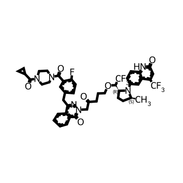 C[C@H]1CC[C@H](C(OCCCC(=O)Cn2nc(Cc3ccc(F)c(C(=O)N4CCN(C(=O)C5CC5)CC4)c3)c3ccccc3c2=O)C(F)(F)F)N1c1ccc2[nH]c(=O)cc(C(F)(F)F)c2c1